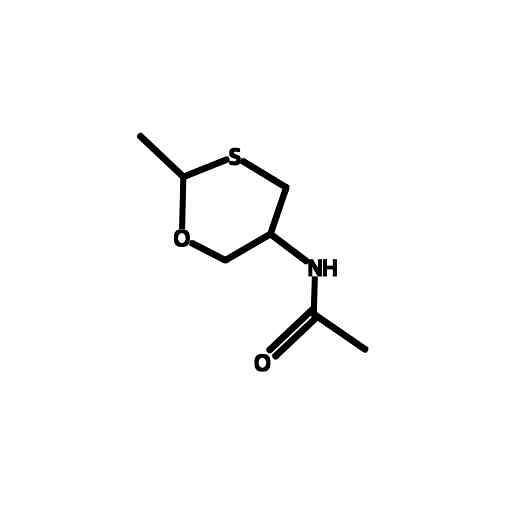 CC(=O)NC1COC(C)SC1